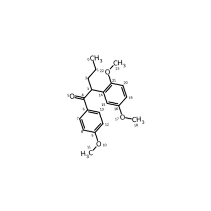 CCCC(C(=O)c1ccc(OC)cc1)c1cc(OC)ccc1OC